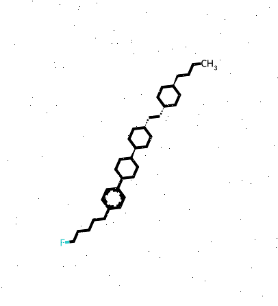 CCCC[C@H]1CC[C@H](CC[C@H]2CC[C@H](C3CCC(c4ccc(CCCCCF)cc4)CC3)CC2)CC1